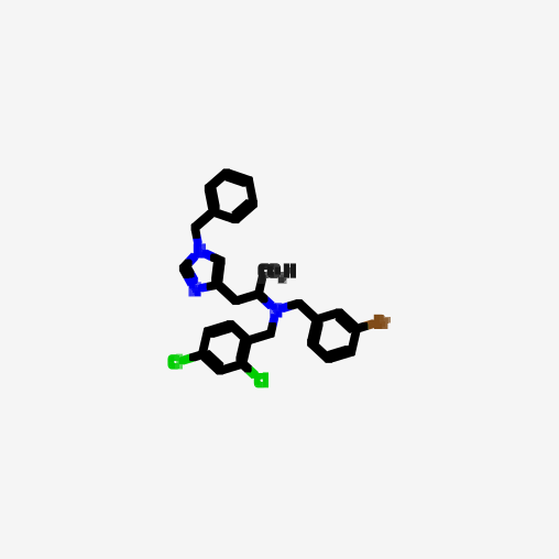 O=C(O)C(Cc1cn(Cc2ccccc2)cn1)N(Cc1cccc(Br)c1)Cc1ccc(Cl)cc1Cl